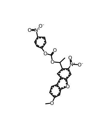 COc1ccc2c(c1)oc1cc([N+](=O)[O-])c(C(C)OC(=O)Oc3ccc([N+](=O)[O-])cc3)cc12